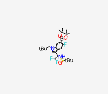 CC(C)(C)Cn1cc(C(N[S+]([O-])C(C)(C)C)C(F)F)c2cc(F)c(B3OC(C)(C)C(C)(C)O3)cc21